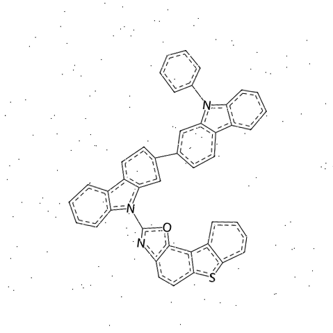 c1ccc(-n2c3ccccc3c3ccc(-c4ccc5c6ccccc6n(-c6nc7ccc8sc9ccccc9c8c7o6)c5c4)cc32)cc1